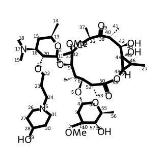 CO[C@]1(C)C[C@H](O[C@H]2[C@H](C)[C@@H](O[C@@H]3O[C@H](C)C[C@H](N(C)C)[C@H]3OCCCN3CCC(O)CC3)[C@@](C)(OC)C[C@@H](C)C(=O)[C@H](C)[C@@H](O)[C@@]3(O)C(C)[C@H]3OC(=O)[C@@H]2C)O[C@@H](C)[C@@H]1O